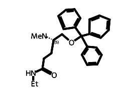 CCNC(=O)CC[C@@H](COC(c1ccccc1)(c1ccccc1)c1ccccc1)NC